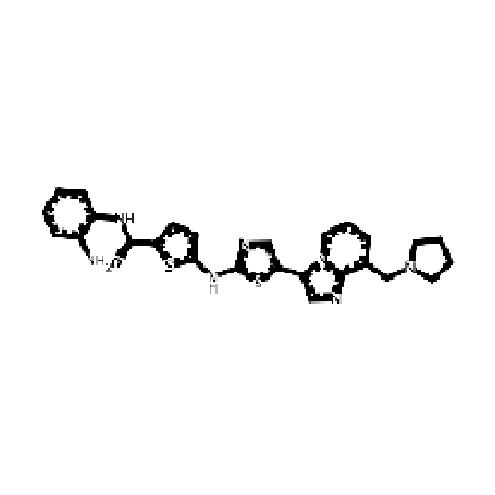 Nc1ccccc1NC(=O)c1ccc(Nc2ncc(-c3cnc4c(CN5CCCC5)cccn34)s2)s1